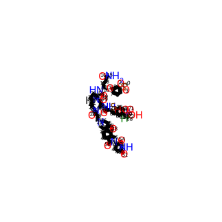 CS(=O)(=O)c1cccc(OC[C@H](CCC(N)=O)NC(=O)[C@@H]2CC[C@@H]3CCN(C(=O)CCN4CCC5(CC4)COc4c5ccc5c4CN([C@H]4CCC(=O)NC4=O)C5=O)C[C@H](NC(=O)c4cc5cc(C(F)(F)P(=O)(O)O)ccc5s4)C(=O)N32)c1